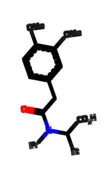 CCC(C(=O)O)N(C(=O)Cc1ccc(OC)c(OC)c1)C(C)C